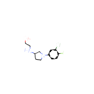 OCCNC1CCN(c2ccc(F)c(Cl)c2)C1